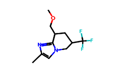 COCC1CC(C(F)(F)F)Cn2cc(C)nc21